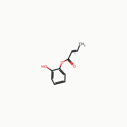 C/C=C/C(=O)Oc1ccccc1O